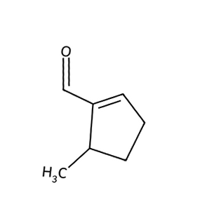 CC1CCC=C1C=O